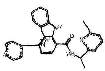 Cc1cccc(C(C)NC(=O)C2=C3Nc4ccccc4C34NCN(c3ccncc3)C4C=C2)n1